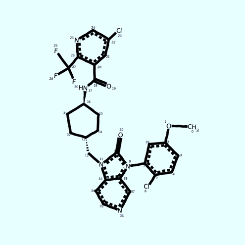 COc1ccc(Cl)c(-n2c(=O)n(C[C@H]3CC[C@H](NC(=O)c4cc(Cl)cnc4C(F)(F)F)CC3)c3ccncc32)c1